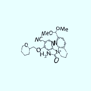 COC(OC)c1ccc2c(n1)[N+](C(N)=O)(c1cc(OCC3CCCCO3)c(C#N)cn1)CCC2